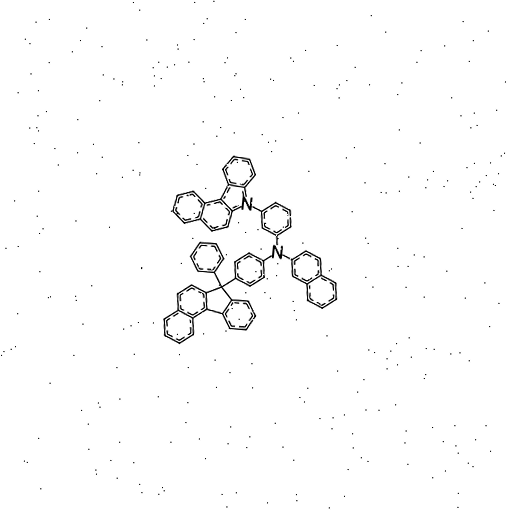 c1ccc(C2(c3ccc(N(c4cccc(-n5c6ccccc6c6c7ccccc7ccc65)c4)c4ccc5ccccc5c4)cc3)c3ccccc3-c3c2ccc2ccccc32)cc1